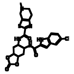 CN1CCc2nc(C(=O)NC3CC4OC(=O)OC4CC3NC(=O)c3cc4cc(Cl)ccc4[nH]3)sc2C1